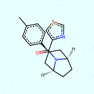 Cc1ccc([C@H]2C[C@H]3CC[C@@H](C2)N3C(=O)c2cscn2)cc1